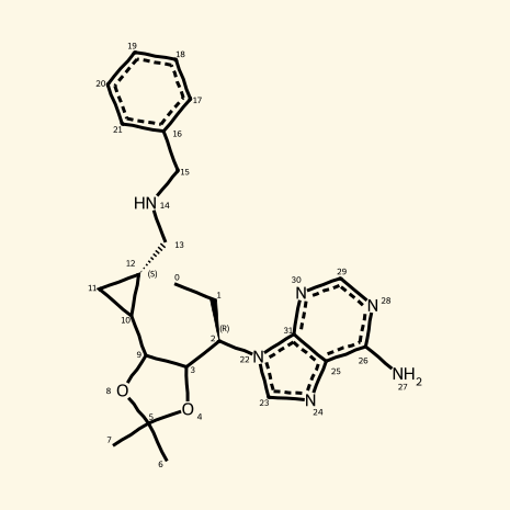 CC[C@H](C1OC(C)(C)OC1C1C[C@@H]1CNCc1ccccc1)n1cnc2c(N)ncnc21